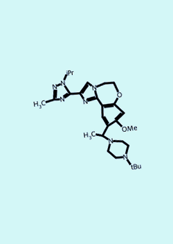 COc1cc2c(cc1C(C)N1CCN(C(C)(C)C)CC1)-c1nc(-c3nc(C)nn3C(C)C)cn1CCO2